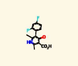 Cc1[nH]c(C)c(-c2ccc(F)cc2F)c(=O)c1C(=O)O